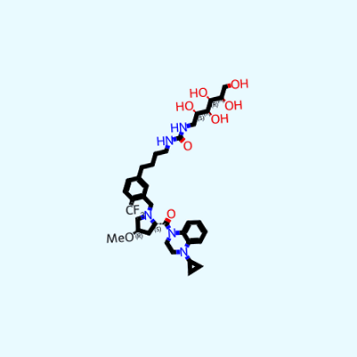 CO[C@@H]1C[C@@H](C(=O)N2CCN(C3CC3)c3ccccc32)N(Cc2cc(CCCCNC(=O)NC[C@H](O)[C@@H](O)[C@H](O)[C@H](O)CO)ccc2C(F)(F)F)C1